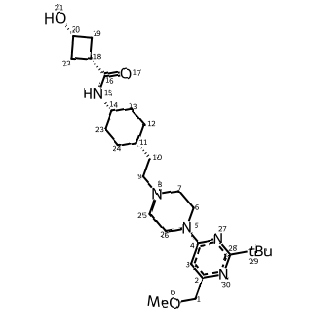 COCc1cc(N2CCN(CC[C@H]3CC[C@@H](NC(=O)[C@H]4C[C@@H](O)C4)CC3)CC2)nc(C(C)(C)C)n1